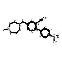 CN1CCCN(Cc2ccc(-c3ccc([N+](=O)[O-])cc3)c(C#N)c2)CC1